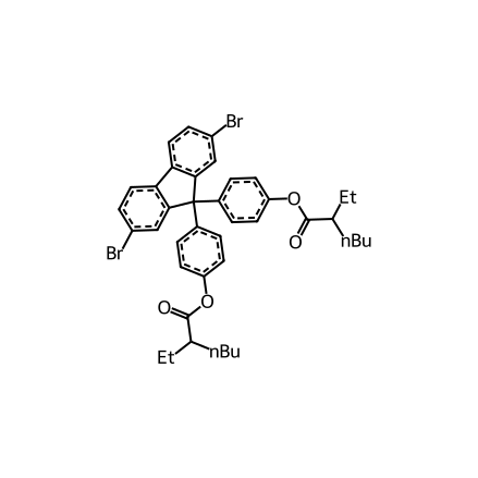 CCCCC(CC)C(=O)Oc1ccc(C2(c3ccc(OC(=O)C(CC)CCCC)cc3)c3cc(Br)ccc3-c3ccc(Br)cc32)cc1